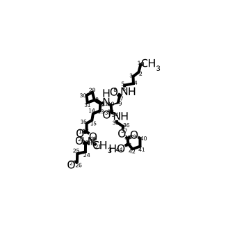 CCCCCCNC(=O)C[C@H](NC(CCCCC(=O)ON(C)C(=O)CCC=O)=C1CCC1)C(=O)NCCOC1OCCCC1O